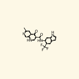 Cc1cc2c(=O)c(C(=O)Nc3cc4[nH]ccc4cc3C(F)(F)F)c[nH]c2cn1